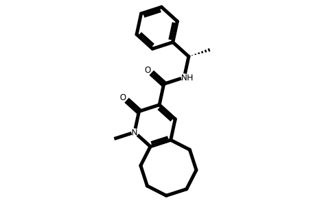 C[C@H](NC(=O)c1cc2c(n(C)c1=O)CCCCCC2)c1ccccc1